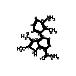 Cc1[nH]c2c(C(N)=O)ccc(-c3cccc(N)c3C)c2c1C